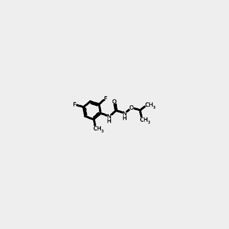 Cc1cc(F)cc(F)c1NC(=O)NOC(C)C